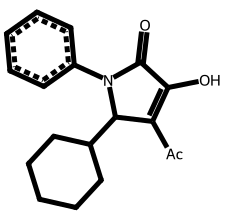 CC(=O)C1=C(O)C(=O)N(c2ccccc2)C1C1CCCCC1